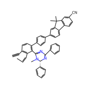 C#Cc1ccc(-c2ccc(-c3ccc4c(c3)C(C)(C)c3cc(C#N)ccc3-4)cc2)c(C2=NC(c3ccccc3)=N[C@H](c3ccccc3)N2C)c1/C=C\C